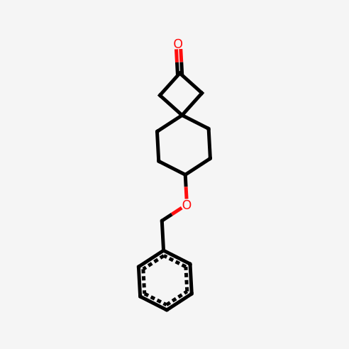 O=C1CC2(CCC(OCc3ccccc3)CC2)C1